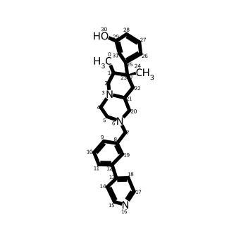 CC1CN2CCN(Cc3cccc(-c4ccncc4)c3)CC2C[C@@]1(C)c1cccc(O)c1